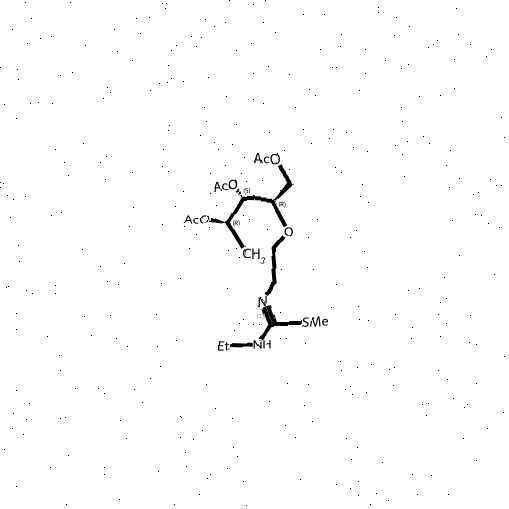 CCN/C(=N/CCO[C@H](COC(C)=O)[C@@H](OC(C)=O)[C@@H](C)OC(C)=O)SC